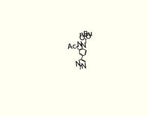 CCCCOC(=O)Cn1nc(C(C)=O)c2cc(-c3cnc(C)nc3)ccc21